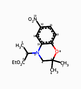 CCOC(=O)C(C)N1CC(C)(C)Oc2ccc([N+](=O)[O-])cc21